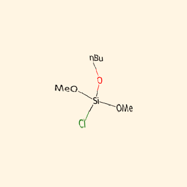 CCCCO[Si](Cl)(OC)OC